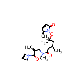 C=C(CC(C)CC(=O)N(C)CC(=C)C(=O)N1C=CC1)ON1C(=C)C=CC1=O